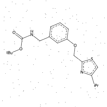 CC(C)c1csc(COc2cccc(CNC(=O)OC(C)(C)C)c2)n1